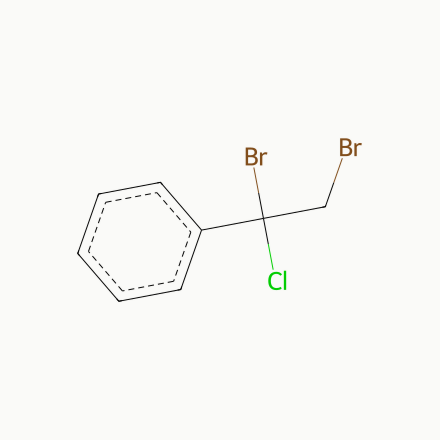 ClC(Br)(CBr)c1ccccc1